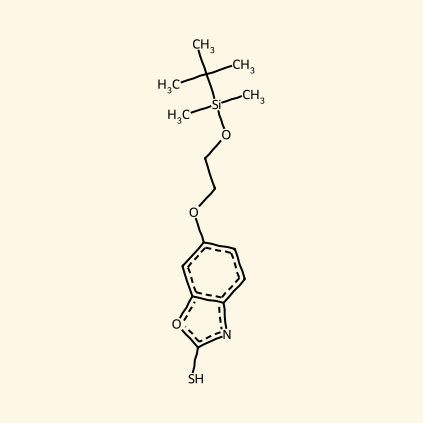 CC(C)(C)[Si](C)(C)OCCOc1ccc2nc(S)oc2c1